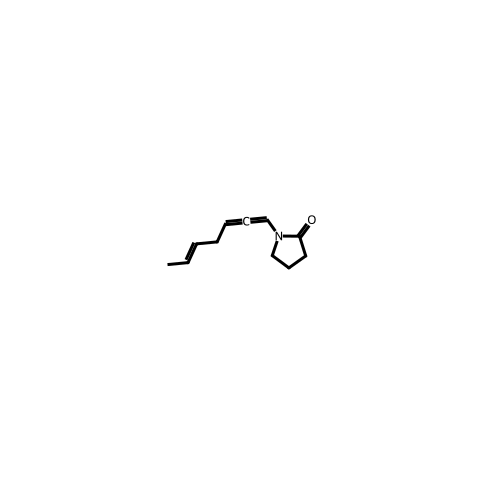 CC=CCC=C=CN1CCCC1=O